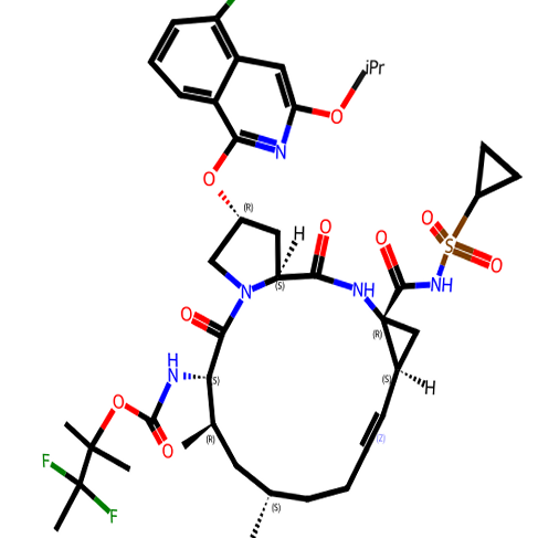 CC(C)Oc1cc2c(Cl)cccc2c(O[C@@H]2C[C@H]3C(=O)N[C@]4(C(=O)NS(=O)(=O)C5CC5)C[C@H]4/C=C\CC[C@H](C)C[C@@H](C)[C@H](NC(=O)OC(C)(C)C(C)(F)F)C(=O)N3C2)n1